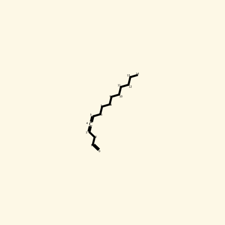 C=CCC=C=CCCCCCCCCC